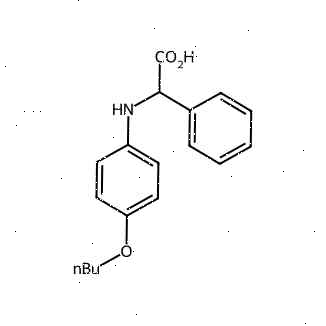 CCCCOc1ccc(NC(C(=O)O)c2ccccc2)cc1